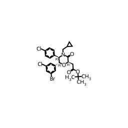 CC(C)(C)OC(=O)C[C@H]1O[C@H](c2cc(Cl)cc(Br)c2)[C@@H](c2ccc(Cl)cc2)N(CC2CC2)C1=O